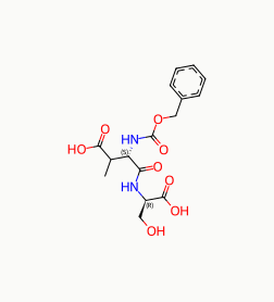 CC(C(=O)O)[C@H](NC(=O)OCc1ccccc1)C(=O)N[C@H](CO)C(=O)O